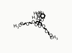 COCCOCCOCCC(CCOCCOCCOC)(C(=O)[O-])C(=O)[O-].N[C@@H]1CCCC[C@@H]1N.[Pt+2]